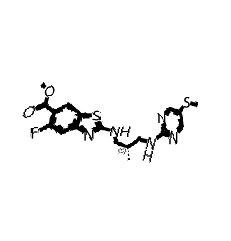 COC(=O)c1cc2sc(NC[C@@H](C)CNc3ncc(SC)cn3)nc2cc1F